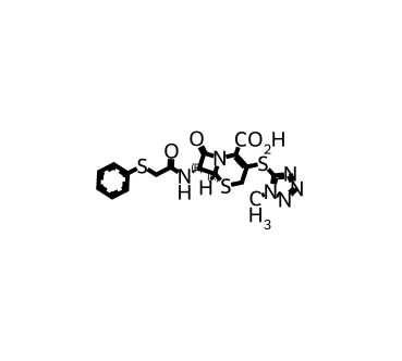 Cn1nnnc1SC1=C(C(=O)O)N2C(=O)[C@@H](NC(=O)CSc3ccccc3)[C@H]2SC1